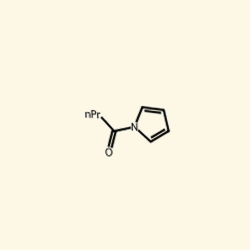 CCCC(=O)n1cccc1